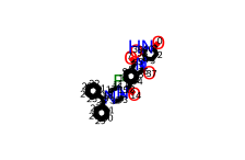 O=C1CCC(N2C(=O)c3cc(F)c(C(=O)N4CCN(C(c5ccccc5)c5ccccc5)CC4)cc3C2=O)C(=O)N1